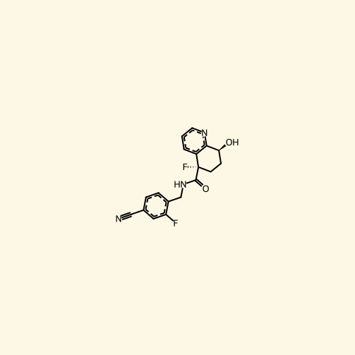 N#Cc1ccc(CNC(=O)[C@]2(F)CC[C@H](O)c3ncccc32)c(F)c1